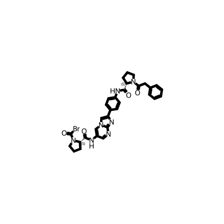 O=C(Nc1cnc2nc(-c3ccc(NC(=O)[C@@H]4CCCN4C(=O)Cc4ccccc4)cc3)cn2c1)[C@@H]1CCCN1C(=O)Br